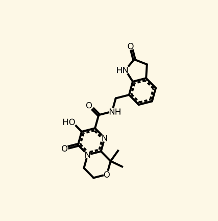 CC1(C)OCCn2c1nc(C(=O)NCc1cccc3c1NC(=O)C3)c(O)c2=O